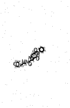 CN1C(=O)c2cc(C(=O)NCCCN3CCOCC3)nn2C[C@@]1(C)C(=O)NC1CCCCC1